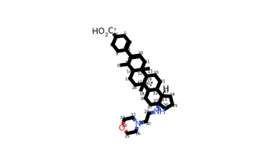 CC1C(C2=CCC(C(=O)O)CC2)=CCC2(C)C1CCC1(C)C2CCC2[C@H]3CCCC3(NCCN3CCOCC3)CC[C@]21C